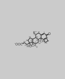 C[C@@]12C(=CC(=O)C3=C1CC3)CCC1C2CC[C@@]2(C)C1CC[C@@]2(O)CCC(=O)[O-].[K+]